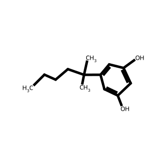 CCCCC(C)(C)c1cc(O)cc(O)c1